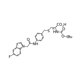 CC(C)(C)OC(=O)N[C@@H](CSCc1ccc(NC(=O)Cn2ccc3cc(F)ccc32)cc1)C(=O)O